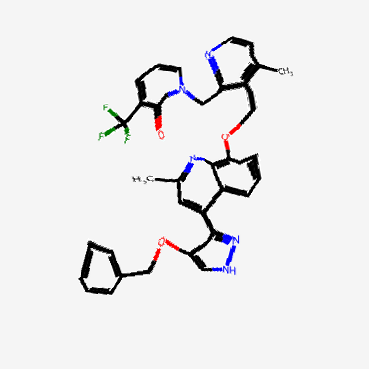 Cc1cc(-c2n[nH]cc2OCc2ccccc2)c2cccc(OCc3c(C)ccnc3Cn3cccc(C(F)(F)F)c3=O)c2n1